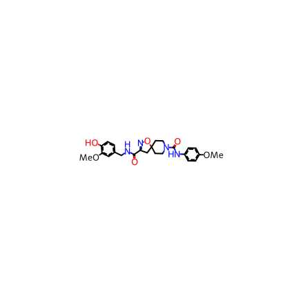 COc1ccc(NC(=O)N2CCC3(CC2)CC(C(=O)NCc2ccc(O)c(OC)c2)=NO3)cc1